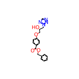 O=C(OCc1ccccc1)c1ccc(OCC(O)Cn2ncnn2)cc1